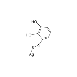 Oc1cccc(S[S][Ag])c1O